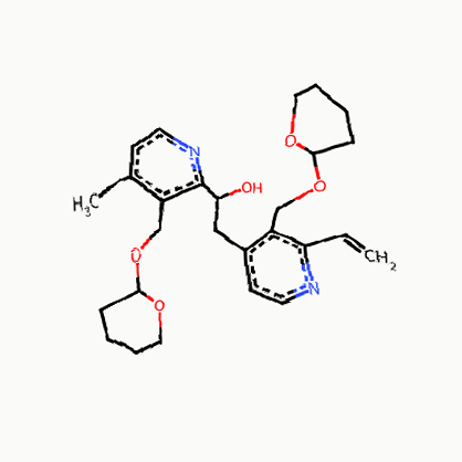 C=Cc1nccc(CC(O)c2nccc(C)c2COC2CCCCO2)c1COC1CCCCO1